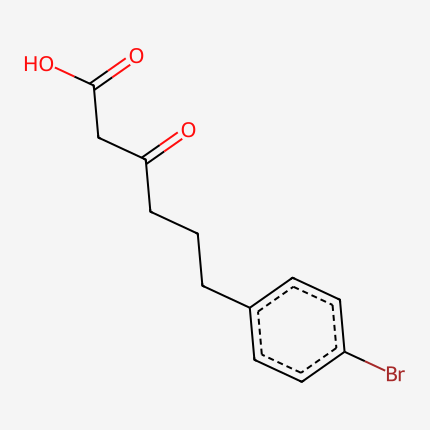 O=C(O)CC(=O)CCCc1ccc(Br)cc1